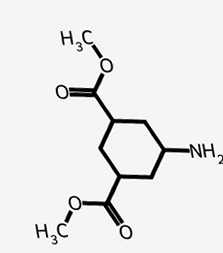 COC(=O)C1CC(N)CC(C(=O)OC)C1